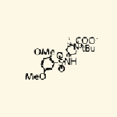 COc1ccc(OC)c(S(=O)(=O)N[C@@H]2C[C@H](C)[N+](C(=O)[O-])(C(C)(C)C)C2)c1